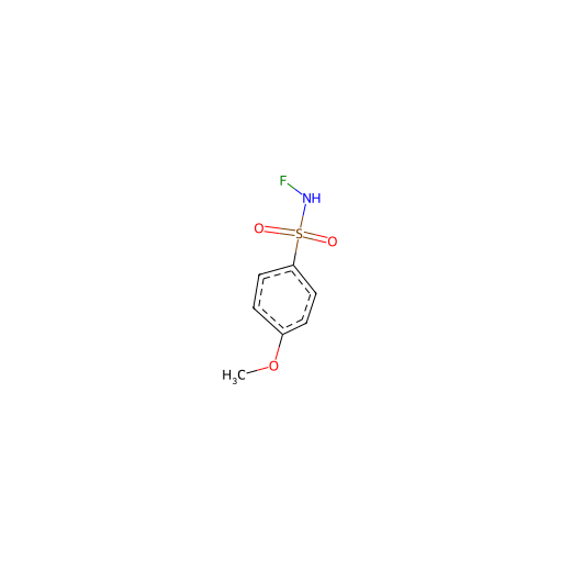 COc1ccc(S(=O)(=O)NF)cc1